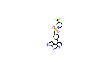 O=S(=O)(CC1CCC(c2ccnc3cnc4[nH]ccc4c23)CC1)N1CCCC(C(F)(F)F)C1